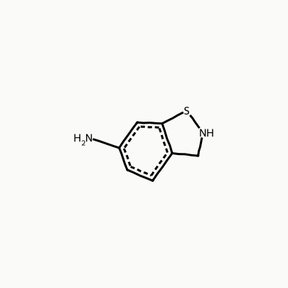 Nc1ccc2c(c1)SNC2